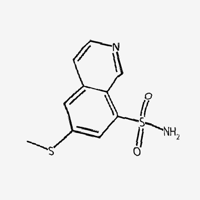 CSc1cc(S(N)(=O)=O)c2cnccc2c1